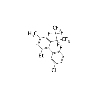 CCc1[c]c(C)cc(C(F)(C(F)(F)F)C(F)(F)C(F)(F)F)c1-c1cc(Cl)ccc1F